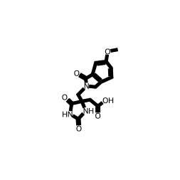 COc1ccc2c(c1)C(=O)N(CC1(CC(=O)O)NC(=O)NC1=O)C2